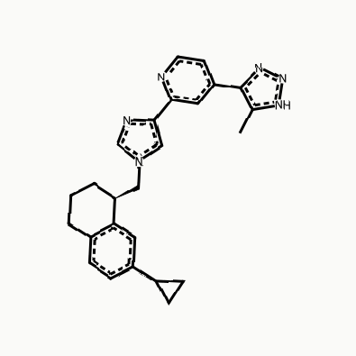 Cc1[nH]nnc1-c1ccnc(-c2cn(C[C@@H]3CCCc4ccc(C5CC5)cc43)cn2)c1